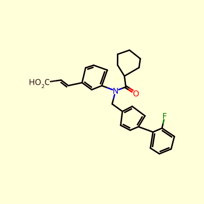 O=C(O)C=Cc1cccc(N(Cc2ccc(-c3ccccc3F)cc2)C(=O)C2CCCCC2)c1